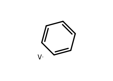 [V].c1ccccc1